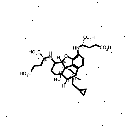 C[N@+]1(CC2CC2)CC[C@]23c4c5ccc(N[C@@H](CCC(=O)O)C(=O)O)c4O[C@H]2C(N[C@@H](CCC(=O)O)C(=O)O)CC[C@@]3(O)[C@H]1C5